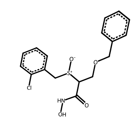 O=C(NO)C(COCc1ccccc1)[S+]([O-])Cc1ccccc1Cl